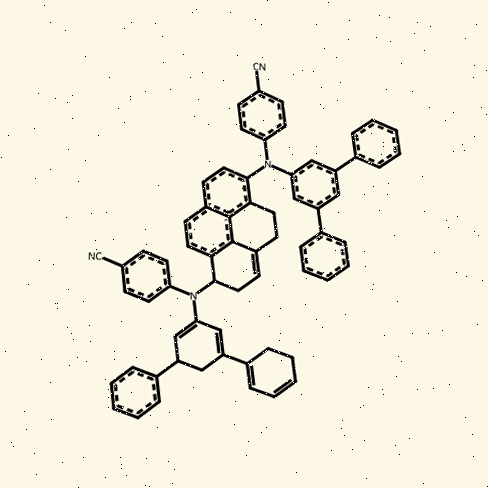 N#Cc1ccc(N(c2cc(-c3ccccc3)cc(-c3ccccc3)c2)c2ccc3ccc4c5c3c2CCC5=CCC4N(C2=CC(c3ccccc3)CC(C3=CC=CCC3)=C2)c2ccc(C#N)cc2)cc1